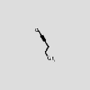 CC[CH]C#CCl